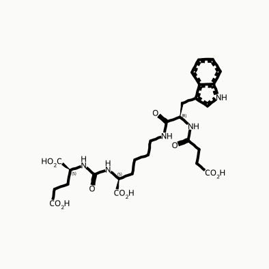 O=C(O)CCC(=O)N[C@H](Cc1c[nH]c2ccccc12)C(=O)NCCCC[C@H](NC(=O)N[C@@H](CCC(=O)O)C(=O)O)C(=O)O